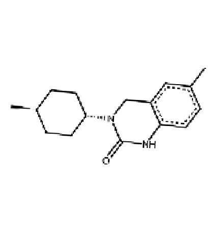 Cc1ccc2c(c1)CN([C@H]1CC[C@H](C)CC1)C(=O)N2